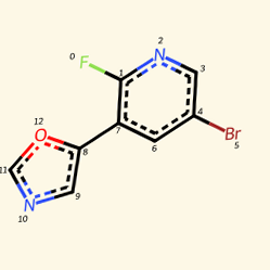 Fc1ncc(Br)cc1-c1cnco1